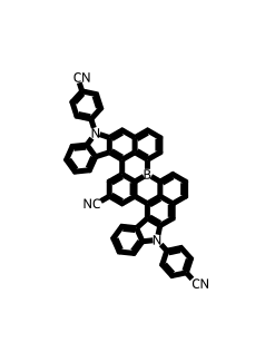 N#Cc1ccc(-n2c3ccccc3c3c4c5c(cccc5cc32)B2c3c-4cc(C#N)cc3-c3c4c2cccc4cc2c3c3ccccc3n2-c2ccc(C#N)cc2)cc1